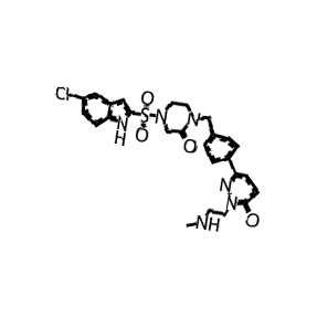 CNCCn1nc(-c2ccc(CN3CCN(S(=O)(=O)c4cc5cc(Cl)ccc5[nH]4)CC3=O)cc2)ccc1=O